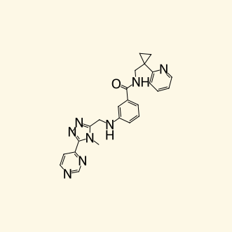 Cn1c(CNc2cccc(C(=O)NCC3(c4ccccn4)CC3)c2)nnc1-c1ccncn1